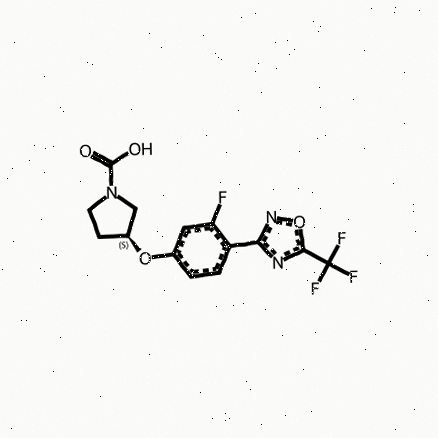 O=C(O)N1CC[C@H](Oc2ccc(-c3noc(C(F)(F)F)n3)c(F)c2)C1